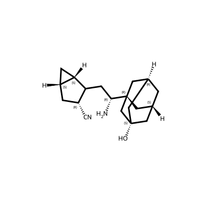 N#C[C@@H]1C[C@@H]2C[C@@H]2C1C[C@@H](N)[C@@]12C[C@@H]3C[C@@H](C[C@@](O)(C3)C1)C2